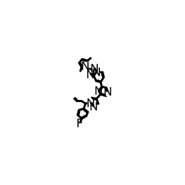 C=CCC(c1ccc(F)cc1)n1cc(-c2cncc(-c3ccn4nc(-n5c(C)ccc5C)nc4c3)n2)cn1